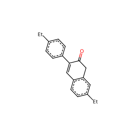 CCc1ccc(C2=Cc3ccc(CC)cc3CC2=O)cc1